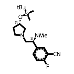 CN[C@H](CN1CC[C@H](O[Si](C)(C)C(C)(C)C)C1)c1ccc(F)c(C#N)c1